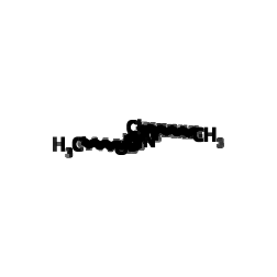 CCCCCCCCOc1ccc(-c2ncc(CCCCCCCC)cc2Cl)cc1